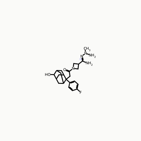 CN(N)/N=C(\N)C1CN(C(=O)CC2(c3ccc(F)cc3)C3CC4CC2CC(C3)C4O)C1